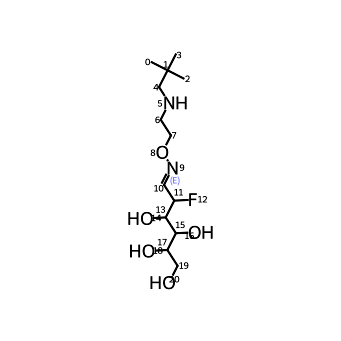 CC(C)(C)CNCCO/N=C/C(F)C(O)C(O)C(O)CO